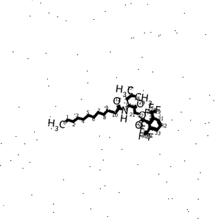 CCCCCCCCCCCC(=O)N[C@@H](CC(C)C)C(=O)COC(=O)c1c(C(F)(F)F)cccc1C(F)(F)F